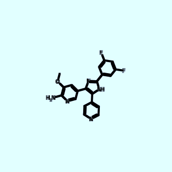 COc1cc(-c2nc(-c3cc(F)cc(F)c3)[nH]c2-c2ccncc2)cnc1N